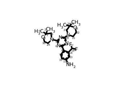 CC1(C)CN(c2nc(-c3ccc(N)cc3C(F)F)nc(N3CCOC(C)(C)C3)n2)CCO1